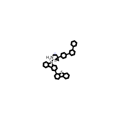 N/C=C\C1(c2ccc(-c3cccc(-c4ccccc4)c3)cc2)C[C@@H]1Cn1c2ccccc2c2cc(-c3cccc4c3sc3ccccc34)ccc21